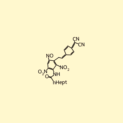 CCCCCCCC(=O)Nc1c([N+](=O)[O-])cc(N=O)c(CC=c2ccc(=C(C#N)C#N)cc2)c1[N+](=O)[O-]